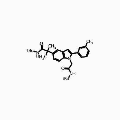 CC(C)(C)NC(=O)Cn1c(-c2cccc(C(F)(F)F)c2)cc2cc(C(C)(C)C(=O)NC(C)(C)C)ccc21